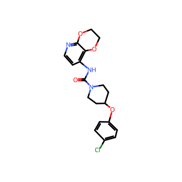 O=C(Nc1ccnc2c1OCCO2)N1CCC(Oc2ccc(Cl)cc2)CC1